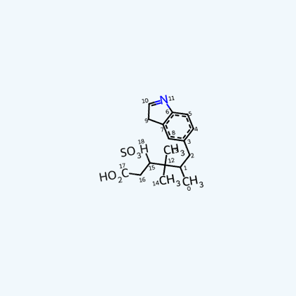 CC(Cc1ccc2c(c1)CC=N2)C(C)(C)C(CC(=O)O)S(=O)(=O)O